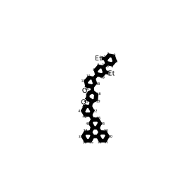 CCc1ccccc1-c1ccc(-c2ccc3oc4c(ccc5c6cc(-c7ccc8c9ccccc9c9ccccc9c8c7)ccc6oc54)c3c2)cc1CC